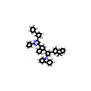 CC1(C)c2ccccc2-c2ccc(-c3cc(-c4ccc(-c5cc(-c6cccc(-c7ccccc7)c6)nc(-c6ccccc6)n5)c5ccccc45)cc(-n4c5ccccc5c5ccccc54)c3)cc21